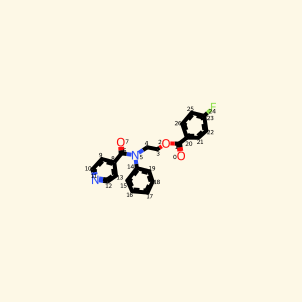 O=C(OCCN(C(=O)c1ccncc1)c1ccccc1)c1ccc(F)cc1